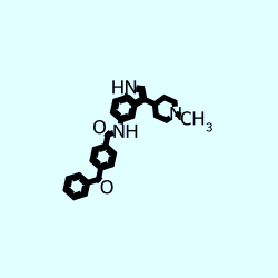 CN1CCC(c2c[nH]c3ccc(NC(=O)c4ccc(C(=O)c5ccccc5)cc4)cc23)CC1